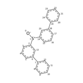 [O-][S+](c1cccc(-c2ccccc2)c1)c1cccc(-c2ccccc2)c1